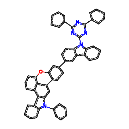 c1ccc(-c2nc(-c3ccccc3)nc(-n3c4ccccc4c4cc(-c5ccc6c(c5)Oc5cccc7c5c-6cc5c7c6ccccc6n5-c5ccccc5)ccc43)n2)cc1